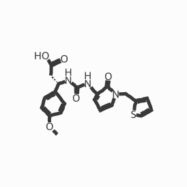 COc1ccc([C@H](CC(=O)O)NC(=O)Nc2cccn(Cc3cccs3)c2=O)cc1